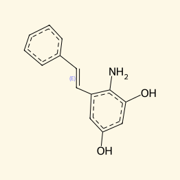 Nc1c(O)cc(O)cc1/C=C/c1ccccc1